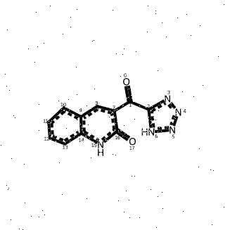 O=C(c1nnn[nH]1)c1cc2ccccc2[nH]c1=O